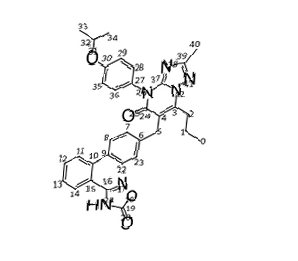 CCCc1c(Cc2ccc(-c3ccccc3-c3noc(=O)[nH]3)cc2)c(=O)n(-c2ccc(OC(C)C)cc2)c2nc(C)nn12